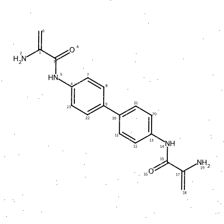 C=C(N)C(=O)Nc1ccc(-c2ccc(NC(=O)C(=C)N)cc2)cc1